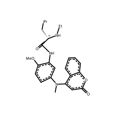 CCN[C@@H](CC(C)C)C(=O)Nc1cc(N(C)c2cc(=O)oc3ccccc23)ccc1OC